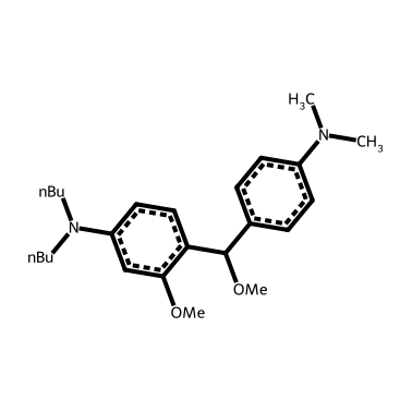 CCCCN(CCCC)c1ccc(C(OC)c2ccc(N(C)C)cc2)c(OC)c1